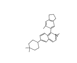 Cc1cc2c(cc1-c1c3ccc(C4CCC(C)(C)CC4)cc3cc[n+]1C)CCC2